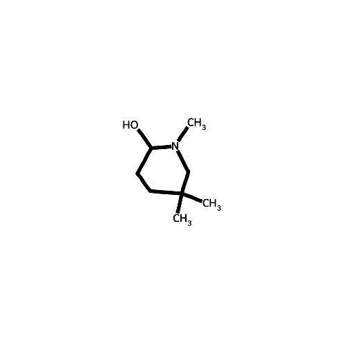 CN1CC(C)(C)CCC1O